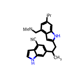 CNCc1cc(C(C)C)cc2[nH]c(CC(C)c3cc(C#N)c4cc[nH]c4c3)cc12